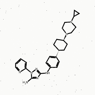 Nc1nc(Nc2ccc([C@H]3CC[C@H](N4CCN(C5CC5)CC4)CC3)cc2)nn1-c1ccccn1